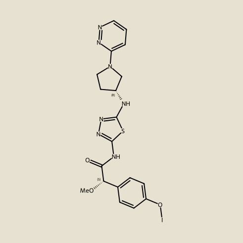 CO[C@H](C(=O)Nc1nnc(N[C@@H]2CCN(c3cccnn3)C2)s1)c1ccc(OI)cc1